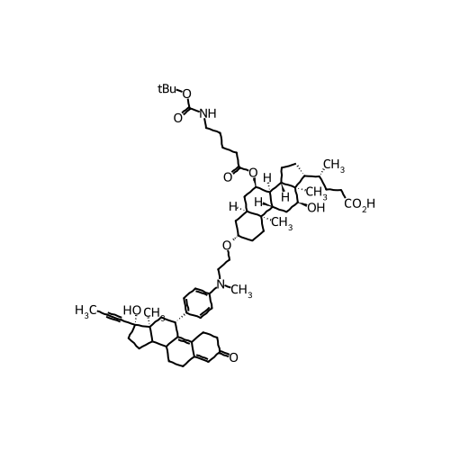 CC#C[C@]1(O)CCC2C3CCC4=CC(=O)CCC4=C3[C@@H](c3ccc(N(C)CCO[C@H]4CC[C@@]5(C)[C@@H](C4)C[C@@H](OC(=O)CCCCNC(=O)OC(C)(C)C)[C@@H]4[C@@H]5C[C@H](O)[C@]5(C)[C@@H]([C@H](C)CCC(=O)O)CC[C@@H]45)cc3)C[C@@]21C